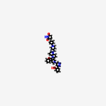 O=C1CC[C@H](c2ccc(N3CCC(CN4CCCC5C4CCCN5C(=O)C4(c5ccccc5)CCN(c5cnnc(-c6ccccc6O)c5)CC4)CC3)cc2)C(=O)N1